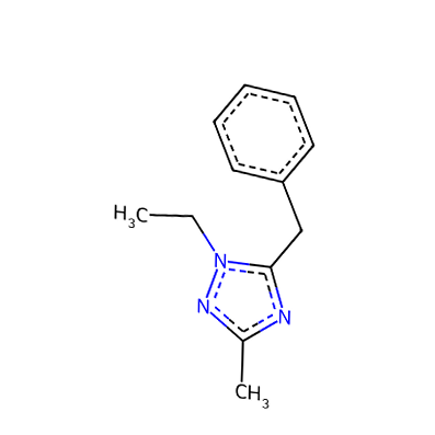 CCn1nc(C)nc1Cc1ccccc1